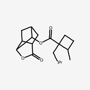 CC(C)CC1(C(=O)OC2C3CC4C(=O)OC2C4C3)CCC1C